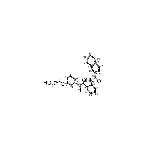 O=C(O)COc1cccc(NC(=O)c2ccccc2NC(=O)c2ccc3ccccc3c2)c1